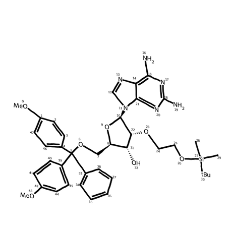 COc1ccc(C(OC[C@H]2O[C@@H](n3cnc4c(N)nc(N)nc43)[C@H](OCCO[Si](C)(C)C(C)(C)C)[C@@H]2O)(c2ccccc2)c2ccc(OC)cc2)cc1